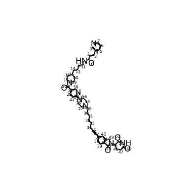 O=C(/C=C/c1cccnc1)NCCCCC1CCN(C(=O)c2ccc(N3CCN(CCCCCCC#Cc4ccc5c(c4)CN(C4CCC(=O)NC4=O)C5=O)CC3)nc2)CC1